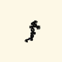 CC(C)Nc1cc(NC2CCN(C(=O)O[C@H]3CCN(C(=O)/C=C/CN(C)C)C3)CC2)c2ncn(C(C)C)c2n1